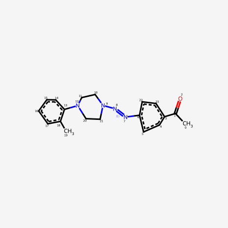 CC(=O)c1ccc(/N=N/N2CCN(c3ccccc3C)CC2)cc1